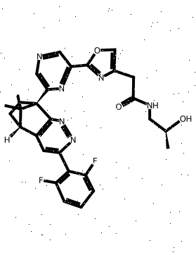 C[C@H](O)CNC(=O)Cc1coc(-c2cncc([C@@]34CC[C@@H](c5cc(-c6c(F)cccc6F)nnc53)C4(C)C)n2)n1